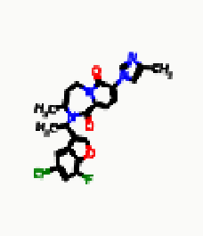 CC1=CCn2c(ccc(-n3cnc(C)c3)c2=O)C(=O)N1C(C)c1coc2c(F)cc(Cl)cc12